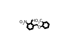 Cc1c(COc2ccccc2C(=O)O)cccc1[N+](=O)[O-]